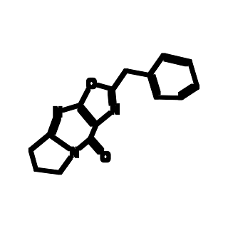 O=c1c2nc(Cc3ccccc3)oc2nc2n1CCC2